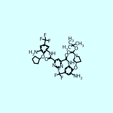 CC(C)(C)OC(=O)N1CC[C@@H](Oc2c(N)cc(C(F)(F)F)cc2NC(=O)c2cc(C(=O)Nc3cc(C(F)(F)F)cc(N)c3OC3CCCC3)ncn2)C1